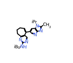 CC[C@H](C)Nc1ncc2c(n1)CCCC=C2c1cnc2nc(C)n(C(C)C)c2c1